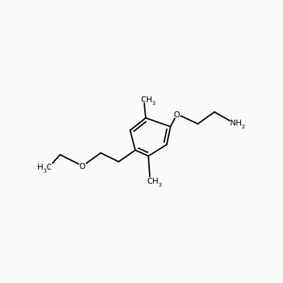 CCOCCc1cc(C)c(OCCN)cc1C